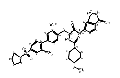 Cc1cc(S(=O)(=O)N2CCCC2)ccc1-c1ccc(C[C@H](NC(=O)[C@H]2CC[C@H](CN)CC2)C(=O)Nc2ccc3c(=O)[nH][nH]c3c2)cc1.Cl